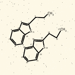 CCCc1cc2ccccc2s1.CCCc1cc2ccccc2s1